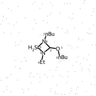 CCCCOC1N(CC)[SiH2]N1CCCC